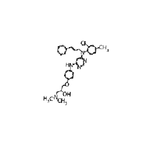 Cc1ccc(N(CC=Cc2ccccc2)c2cc(Nc3ccc(OCC(O)CN(C)C)cc3)ncn2)c(Cl)c1